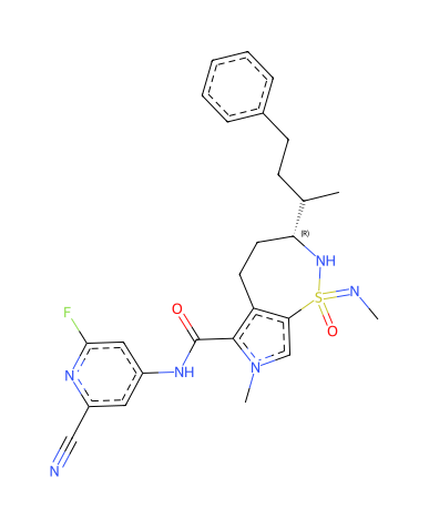 CN=S1(=O)N[C@@H](C(C)CCc2ccccc2)CCc2c1cn(C)c2C(=O)Nc1cc(F)nc(C#N)c1